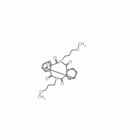 COCCCN1C(=O)c2ccc3cc2C(=O)N(CCCOC)C(=O)c2cc(ccc2C1=O)C3=O